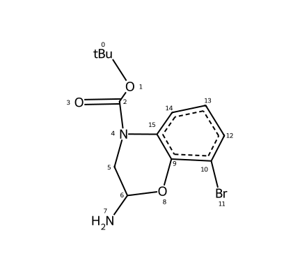 CC(C)(C)OC(=O)N1CC(N)Oc2c(Br)cccc21